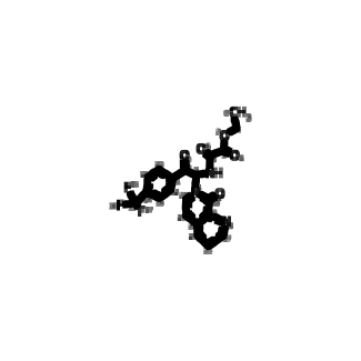 CCOC(=O)C(=O)NC(C(=O)c1ccc(C(F)(F)F)cc1)n1ccc2cccnc2c1=O